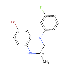 C[C@H]1CN(c2cc[c]c(F)c2)c2cc(Br)ccc2N1